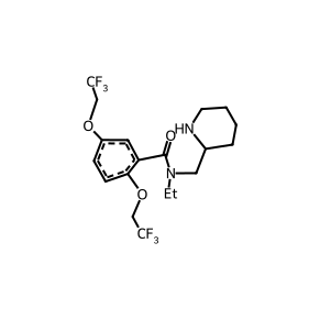 CCN(CC1CCCCN1)C(=O)c1cc(OCC(F)(F)F)ccc1OCC(F)(F)F